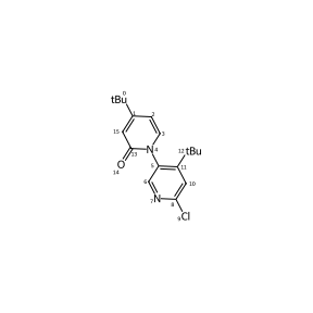 CC(C)(C)c1ccn(-c2cnc(Cl)cc2C(C)(C)C)c(=O)c1